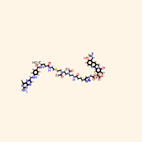 CCC(=O)N(CCNC(=O)CCCc1cn(CC(=O)O[C@]2(CC)C(=O)OCc3c2cc2n(c3=O)Cc3cc4c(CN(C)C)c(O)ccc4nc3-2)nn1)CCN(CCSCCNC(=O)CCC(NC(=O)c1ccc(NCc2cnc3nc(N)nc(C)c3n2)cc1)C(=O)O)C(=O)CC